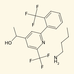 CC(O)c1cc(-c2ccccc2C(F)(F)F)nc(C(F)(F)F)c1.CCCCN